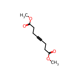 COC(=O)CCC#CCCC(=O)OC